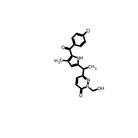 Cc1cc(C(C)c2ccc(=O)n(CO)n2)[nH]c1C(=O)c1ccc(Cl)cc1